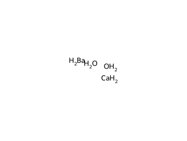 O.O.[BaH2].[CaH2]